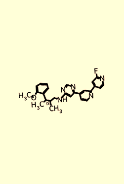 COc1ccccc1C(C)[C@H](C)CNc1cc(-c2ccnc(-c3ccnc(F)c3)c2)ncn1